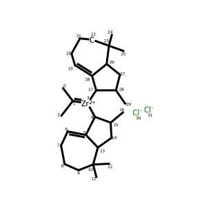 C[C](C)=[Zr+2]([CH]1C2=CCCCC(C)(C)C2CC1C)[CH]1C2=CCCCC(C)(C)C2CC1C.[Cl-].[Cl-]